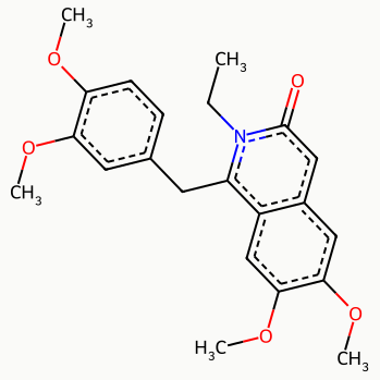 CCn1c(Cc2ccc(OC)c(OC)c2)c2cc(OC)c(OC)cc2cc1=O